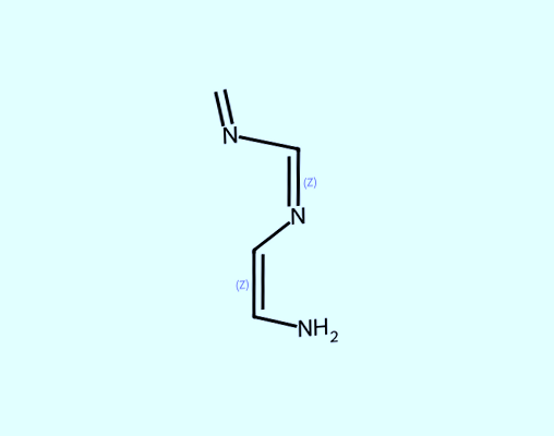 C=N/C=N\C=C/N